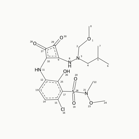 COCN(CC(C)C)Nc1c(Nc2ccc(Cl)c(S(=O)(=O)N(C)OC)c2O)c(=O)c1=O